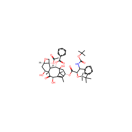 CC(=O)O[C@@]12CO[C@@H]1C[C@H](O)[C@@]1(C)C(=O)[C@H](O)C3=C(C)[C@@H](OC(=O)[C@H](O[Si](C)(C)C(C)(C)C)C(NC(=O)OC(C)(C)C)c4ccccc4)C[C@@](O)([C@@H](OC(=O)c4ccccc4)[C@H]21)C3(C)C